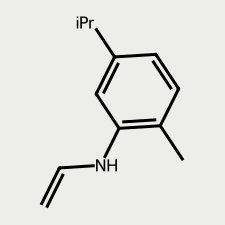 C=CNc1cc(C(C)C)ccc1C